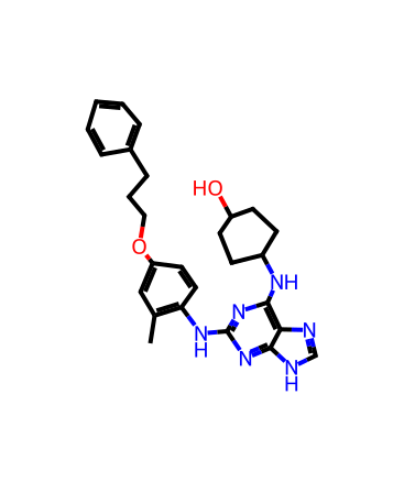 Cc1cc(OCCCc2ccccc2)ccc1Nc1nc(NC2CCC(O)CC2)c2nc[nH]c2n1